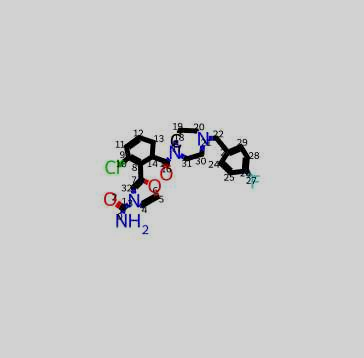 NC(=O)N1C=COC(C2=C(Cl)C=CCC2C(=O)N2CCCN(Cc3ccc(F)cc3)CC2)=C1